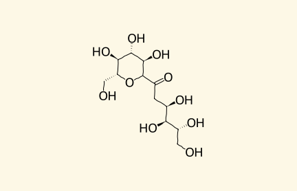 O=C(C[C@@H](O)[C@H](O)[C@H](O)CO)C1O[C@H](CO)[C@@H](O)[C@H](O)[C@H]1O